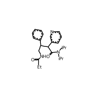 CCC(=O)NCC(c1ccccc1)C(C(=O)N(C(C)C)C(C)C)c1cccnc1